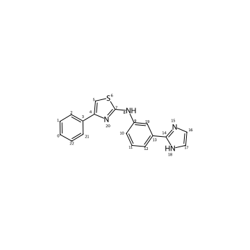 c1ccc(-c2csc(Nc3cccc(-c4ncc[nH]4)c3)n2)cc1